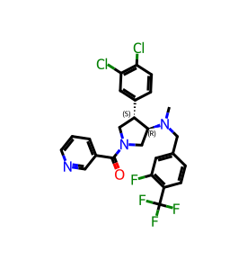 CN(Cc1ccc(C(F)(F)F)c(F)c1)[C@H]1CN(C(=O)c2cccnc2)C[C@@H]1c1ccc(Cl)c(Cl)c1